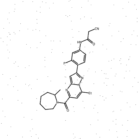 CCc1cc(C(=O)N2CCCCCC2C)nc2cc(-c3ccc(NC(=O)CC#N)cc3F)nn12